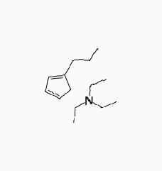 CCCC1=CC=CC1.CCN(CC)CC